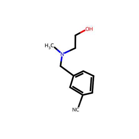 CN(CCO)Cc1cccc(C#N)c1